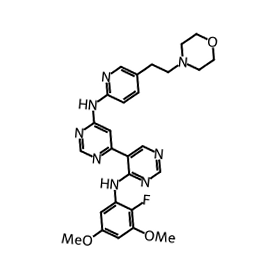 COc1cc(Nc2ncncc2-c2cc(Nc3ccc(CCN4CCOCC4)cn3)ncn2)c(F)c(OC)c1